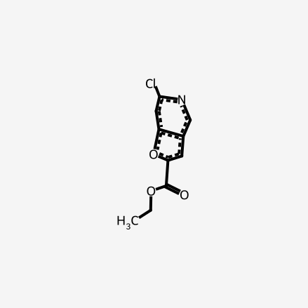 CCOC(=O)c1cc2cnc(Cl)cc2o1